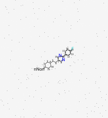 CCCCCCCCCC1CCC(CCc2cnc(-c3ccc(F)cc3)nc2)CC1